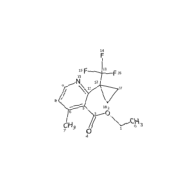 CCOC(=O)c1c(C)ccnc1C1(C(F)(F)F)CC1